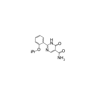 CC(C)Oc1ccccc1-c1ncc(C(N)=O)c(=O)[nH]1